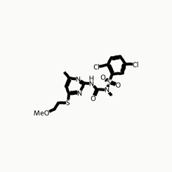 COCCSc1cc(C)nc(NC(=O)N(C)S(=O)(=O)c2cc(Cl)ccc2Cl)n1